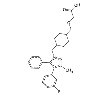 Cc1nn(CC2CCC(COCC(=O)O)CC2)c(-c2ccccc2)c1-c1cccc(F)c1